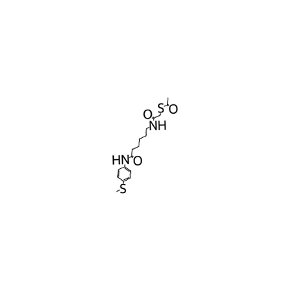 CSc1ccc(NC(=O)CCCCCNC(=O)CSC(C)=O)cc1